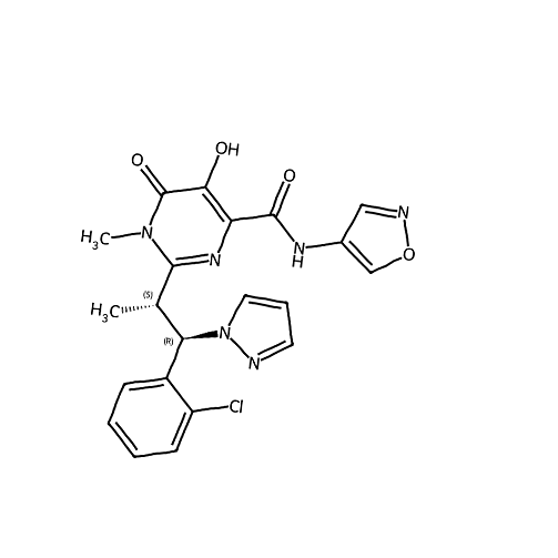 C[C@H](c1nc(C(=O)Nc2cnoc2)c(O)c(=O)n1C)[C@H](c1ccccc1Cl)n1cccn1